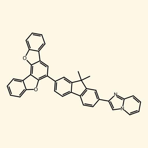 CC1(C)c2cc(-c3cn4ccccc4n3)ccc2-c2ccc(-c3cc4c5ccccc5oc4c4c3oc3ccccc34)cc21